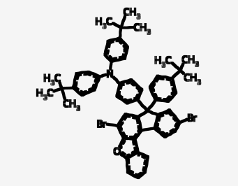 CC(C)(C)c1ccc(N(c2ccc(C(C)(C)C)cc2)c2ccc(C3(c4ccc(C(C)(C)C)cc4)c4cc(Br)ccc4-c4c3cc(Br)c3oc5ccccc5c43)cc2)cc1